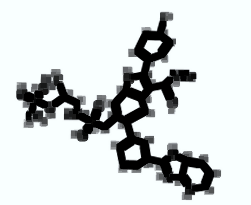 CNC(=O)c1c(-c2ccc(F)cc2)oc2cc(CS(=O)(=O)NCC(C)OS(C)(=O)=O)c(-c3cccc(-c4nc5ncccc5o4)c3)cc12